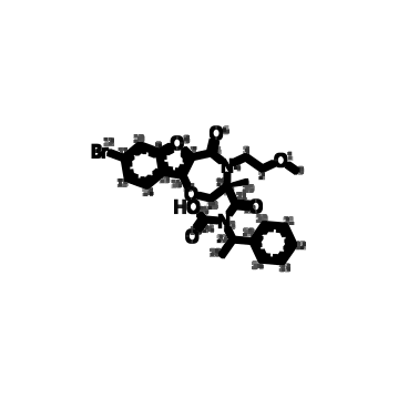 COCCN1C(=O)c2oc3cc(Br)ccc3c2OC[C@@]1(C)C(=O)N(C(=O)O)C(C)c1ccccc1